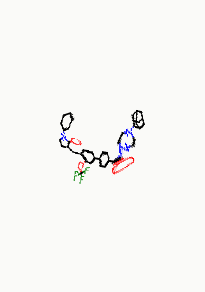 O=C(c1ccc(-c2ccc(CC3CCN(C4CCCCC4)C3=O)c(OC(F)(F)F)c2)cc1)N1CCN(C2C3CC4CC(C3)CC2C4)CC1